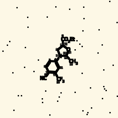 CCOC(=O)[C@@H]1CN(c2ccc(C#N)c(C(F)(F)F)c2)[C@H](C)O1